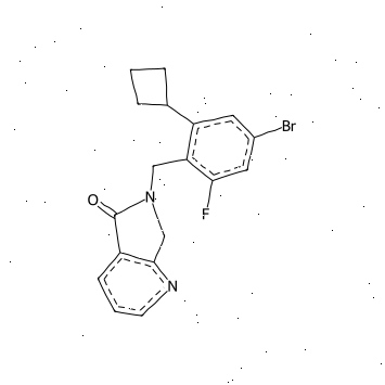 O=C1c2cccnc2CN1Cc1c(F)cc(Br)cc1C1CCC1